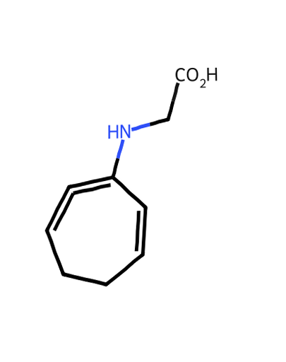 O=C(O)CNC1=C=CCCC=C1